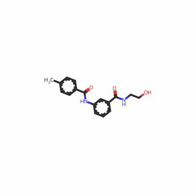 Cc1ccc(C(=O)Nc2c[c]cc(C(=O)NCCO)c2)cc1